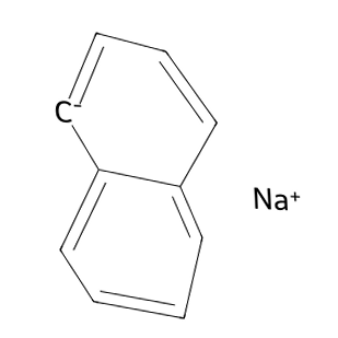 [Na+].[c-]1cccc2ccccc12